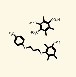 COc1c(C)c(C(=O)O)c(C)c(C)c1C(=O)O.COc1cc(C)c(C)c(OCCCOc2ccc(C(F)(F)F)cc2)c1C